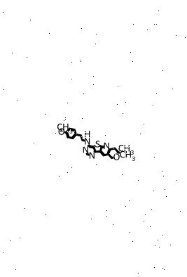 COc1ccc(CCNc2ncnc3c2sc2nc4c(cc23)COC(C)(C)C4)cc1